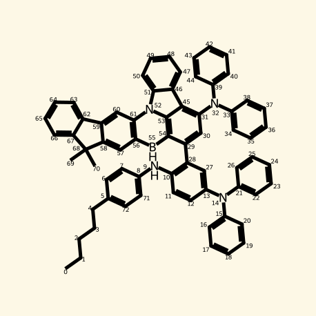 CCCCCc1ccc(Nc2ccc(N(c3ccccc3)c3ccccc3)cc2-c2cc(N(c3ccccc3)c3ccccc3)c3c4ccccc4n4c3c2Bc2cc3c(cc2-4)-c2ccccc2C3(C)C)cc1